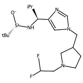 CC(C)[C@H](N[S@@+]([O-])C(C)(C)C)c1cn(CC2CCN(CC(F)F)C2)cn1